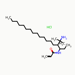 C=CC(=O)NC(CC)C(CCCCCCCCCCCCCC)C(C)(C)N.Cl